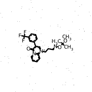 COC(C)(C)ON=CCC[n+]1cc(-c2cccc(C(F)(F)F)c2)c(=O)n2ccccc21